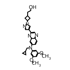 COc1cc(OC)cc(N(CC2CC2)c2ccc3ncc(-c4cnn(C5CC(CCO)C5)c4)nc3c2)c1